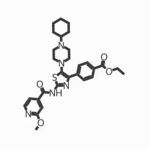 CCOC(=O)c1ccc(-c2nc(NC(=O)c3ccnc(OC)c3)sc2N2CCN(C3CCCCC3)CC2)cc1